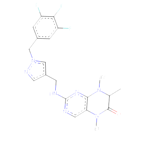 CCN1C(=O)C(C)N(C(C)C)c2nc(NCc3cnn(Cc4cc(F)c(F)c(F)c4)c3)ncc21